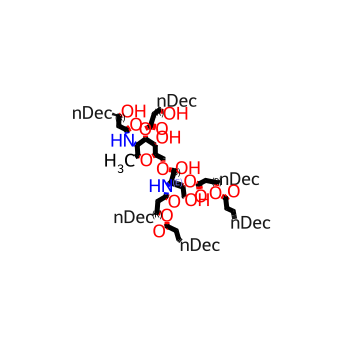 CCCCCCCCCCCCC(=O)O[C@H](CCCCCCCCCC)CC(=O)N/C(=C(\CO)OC(=O)C[C@@H](CCCCCCCCCC)OC(=O)CCCCCCCCCCCC)[C@@H](O)OCC1OC(C)C(NC(=O)C[C@H](O)CCCCCCCCCC)C(OC(=O)C[C@H](O)CCCCCCCCCC)C1O